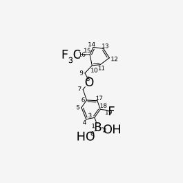 OB(O)c1ccc(COCc2ccccc2C(F)(F)F)cc1F